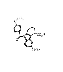 CCCCCCc1ccc2c(c1)c1c(n2C(=O)c2ccc(OC(Cl)(Cl)Cl)cc2)CCCC1C(=O)O